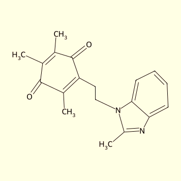 CC1=C(C)C(=O)C(CCn2c(C)nc3ccccc32)=C(C)C1=O